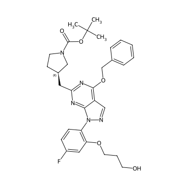 CC(C)(C)OC(=O)N1CC[C@H](Cc2nc(OCc3ccccc3)c3cnn(-c4ccc(F)cc4OCCCO)c3n2)C1